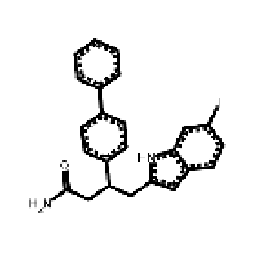 NC(=O)CC(Cc1cc2ccc(I)cc2[nH]1)c1ccc(-c2ccccc2)cc1